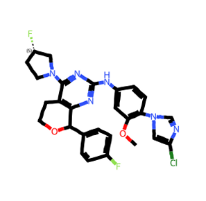 COc1cc(Nc2nc3c(c(N4CC[C@H](F)C4)n2)CCOC3c2ccc(F)cc2)ccc1-n1cnc(Cl)c1